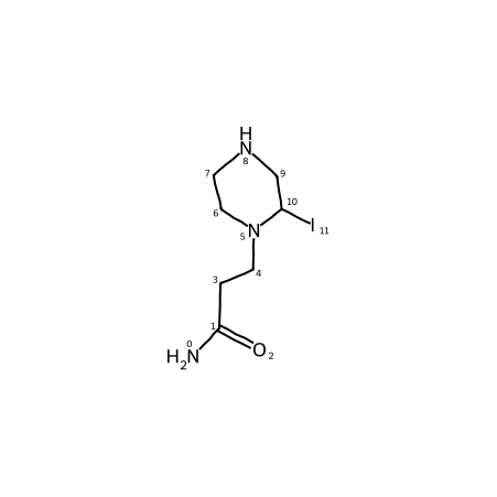 NC(=O)CCN1CCNCC1I